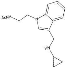 CC(=O)NCCn1cc(CNC2CC2)c2ccccc21